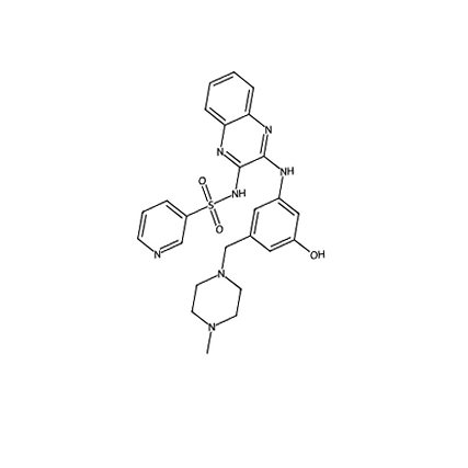 CN1CCN(Cc2cc(O)cc(Nc3nc4ccccc4nc3NS(=O)(=O)c3cccnc3)c2)CC1